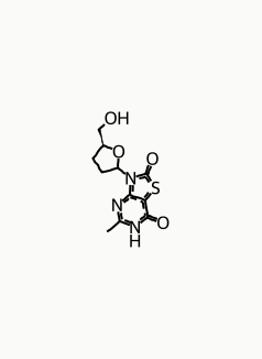 Cc1nc2c(sc(=O)n2C2CC[C@@H](CO)O2)c(=O)[nH]1